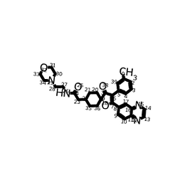 Cc1cccc(C2=C(c3ccc4nccnc4c3)OC3(CCC(CC(=O)NCCN4CCOCC4)CC3)C2=O)c1